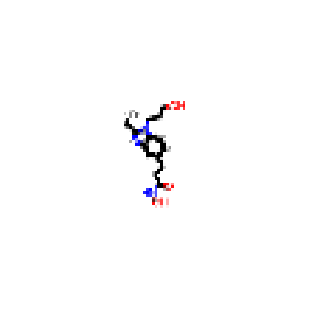 CC(C)Cc1nc2cc(CCC(=O)NO)ccc2n1CCCO